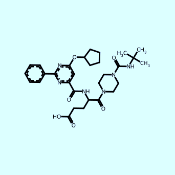 CC(C)(C)NC(=O)N1CCN(C(=O)C(CCC(=O)O)NC(=O)c2cc(OC3CCCC3)nc(-c3ccccc3)n2)CC1